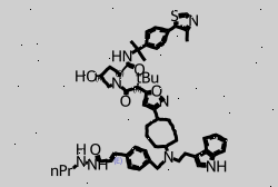 CCCNNC(=O)/C=C/c1ccc(CN(CCc2c[nH]c3ccccc23)C2CCCC(c3cc([C@H](C(=O)N4C[C@H](O)C[C@H]4C(=O)NC(C)(C)c4ccc(-c5scnc5C)cc4)C(C)(C)C)on3)CCC2)cc1